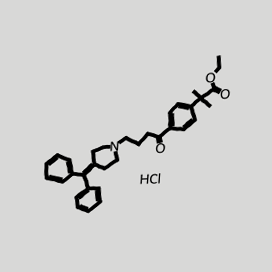 CCOC(=O)C(C)(C)c1ccc(C(=O)CCCN2CCC(=C(c3ccccc3)c3ccccc3)CC2)cc1.Cl